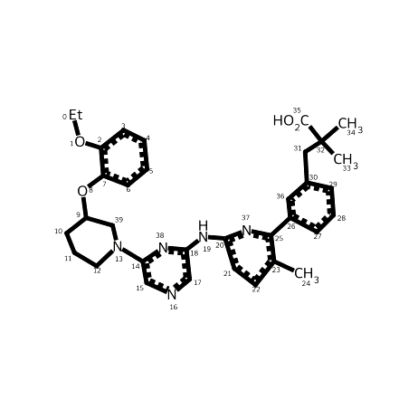 CCOc1ccccc1OC1CCCN(c2cncc(Nc3ccc(C)c(-c4cccc(CC(C)(C)C(=O)O)c4)n3)n2)C1